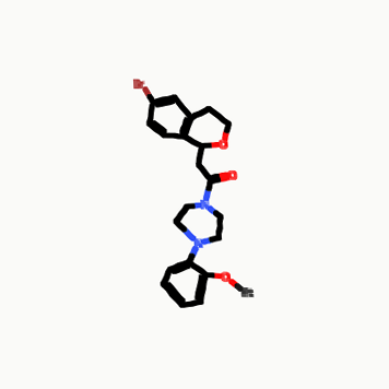 CCOc1ccccc1N1CCN(C(=O)CC2OCCc3cc(Br)ccc32)CC1